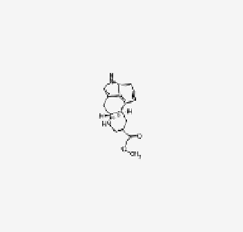 COC(=O)C1CN[C@@H]2Cc3c[nH]c4cccc(c34)[C@H]2C1